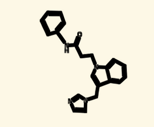 O=C(CCn1cc(Cn2ccnc2)c2ccccc21)Nc1ccccc1